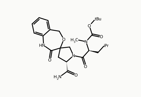 CC(C)C[C@@H](C(=O)N1CC2(C[C@H]1C(N)=O)OCc1ccccc1NC2=O)N(C)C(=O)OC(C)(C)C